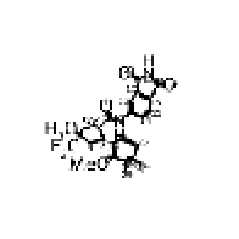 COc1c([C@@H]2C[C@](C)(C(F)(F)F)S[C@H]2C(=O)Nc2ccc3c(c2)C(=O)NC3=O)ccc(F)c1F